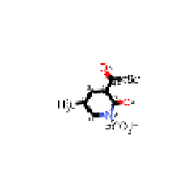 CC1CC(C(=O)C(C)(C)C)C(=O)N(C(=O)O)C1